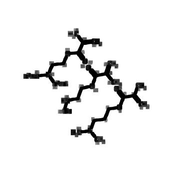 C=C(C)C(=O)OCCCN(C)C.C=C(C)C(=O)OCCN(CCCCC)CCCCC.C=C(C)C(=O)OCCNC(C)(C)C